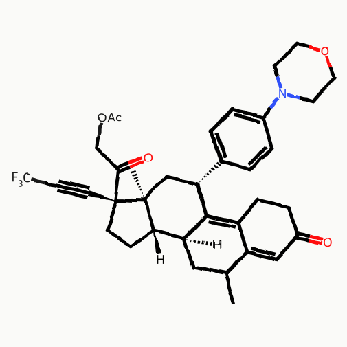 CC(=O)OCC(=O)[C@@]1(C#CC(F)(F)F)CC[C@H]2[C@@H]3CC(C)C4=CC(=O)CCC4=C3[C@@H](c3ccc(N4CCOCC4)cc3)C[C@@]21C